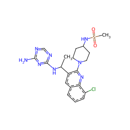 CC(Nc1ncnc(N)n1)c1cc2cccc(Cl)c2nc1N1CCC(NS(C)(=O)=O)CC1